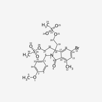 COc1ccc(CN2C(=O)c3c(C)cc(Br)cc3C2(CCOS(C)(=O)=O)CCOS(C)(=O)=O)cc1